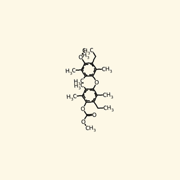 CCc1c(C)c(Oc2c(C)c(C)c(OC(=O)OC)c(CC)c2C)c(C)c(C)c1OC